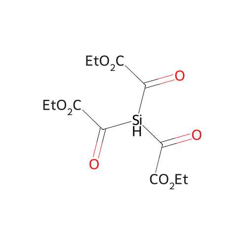 CCOC(=O)C(=O)[SiH](C(=O)C(=O)OCC)C(=O)C(=O)OCC